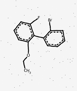 CCOc1cccc(F)c1-c1ccc[c]c1Br